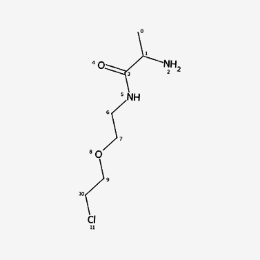 CC(N)C(=O)NCCOCCCl